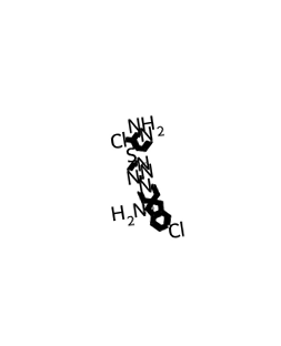 Nc1nccc(Sc2cnc(N3CCC4(CC3)Cc3cc(Cl)ccc3[C@H]4N)nn2)c1Cl